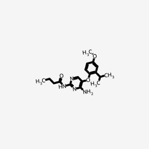 CCCC(=O)Nc1ncc(Oc2ccc(OC)cc2C(C)C)c(N)n1